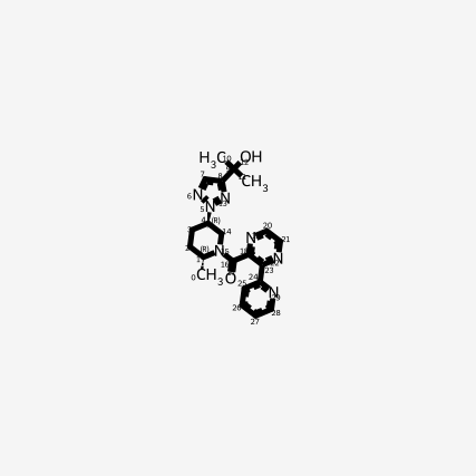 C[C@@H]1CC[C@@H](n2ncc(C(C)(C)O)n2)CN1C(=O)c1nccnc1-c1ccccn1